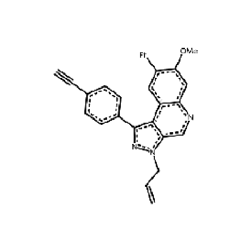 C#Cc1ccc(-c2nn(CC=C)c3cnc4cc(OC)c(CC)cc4c23)cc1